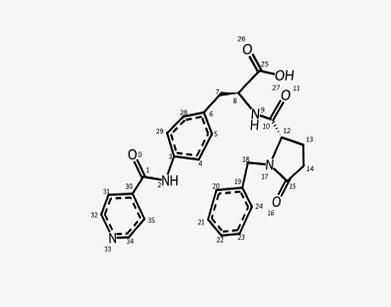 O=C(Nc1ccc(C[C@H](NC(=O)[C@@H]2CCC(=O)N2Cc2ccccc2)C(=O)O)cc1)c1ccncc1